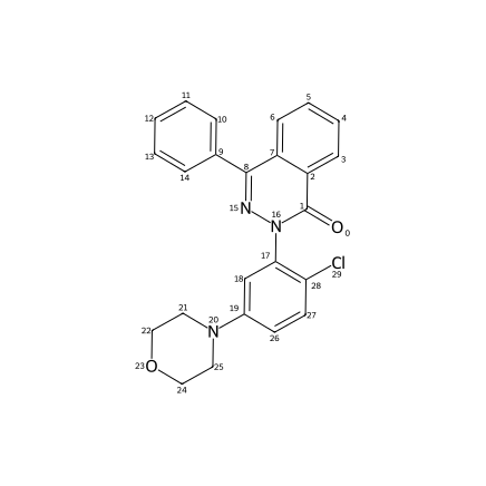 O=c1c2ccccc2c(-c2ccccc2)nn1-c1cc(N2CCOCC2)ccc1Cl